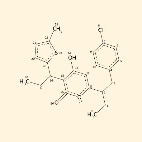 CCC(Cc1ccc(Cl)cc1)c1cc(O)c(C(CC)c2ccc(C)s2)c(=O)o1